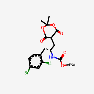 CC(C)(C)OC(=O)N[C@H](Cc1ccc(Br)cc1Cl)CC1C(=O)OC(C)(C)OC1=O